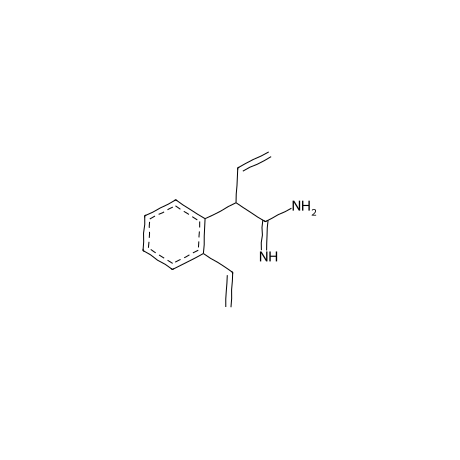 C=Cc1ccccc1C(C=C)C(=N)N